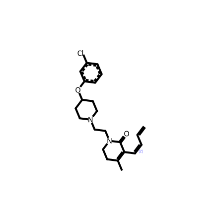 C=C/C=C\C1=C(C)CCN(CCN2CCC(Oc3cccc(Cl)c3)CC2)C1=O